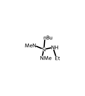 CCCC[Si](NC)(NC)NCC